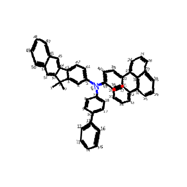 CC1(C)c2cc(N(c3ccc(-c4ccccc4)cc3)c3ccc(-c4cccc5cccc(-c6ccccc6)c45)cc3)ccc2-c2cc3ccccc3cc21